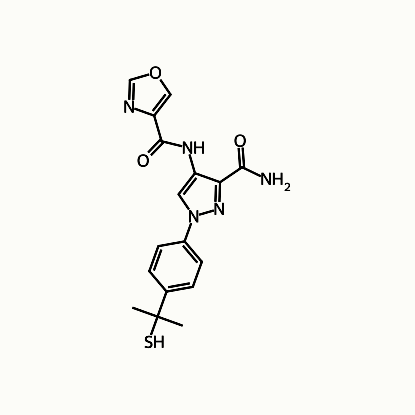 CC(C)(S)c1ccc(-n2cc(NC(=O)c3cocn3)c(C(N)=O)n2)cc1